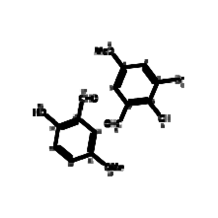 COc1cc(Br)c(O)c(C=O)c1.COc1ccc(O)c(C=O)c1